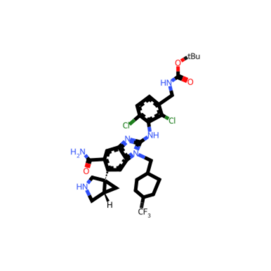 CC(C)(C)OC(=O)NCc1ccc(Cl)c(Nc2nc3cc(C(N)=O)c([C@@]45CNC[C@H]4C5)cc3n2CC2CCC(C(F)(F)F)CC2)c1Cl